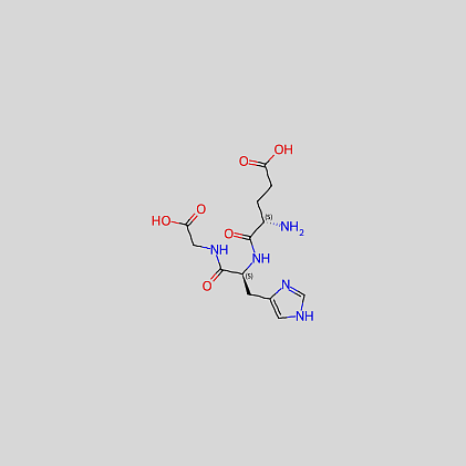 N[C@@H](CCC(=O)O)C(=O)N[C@@H](Cc1c[nH]cn1)C(=O)NCC(=O)O